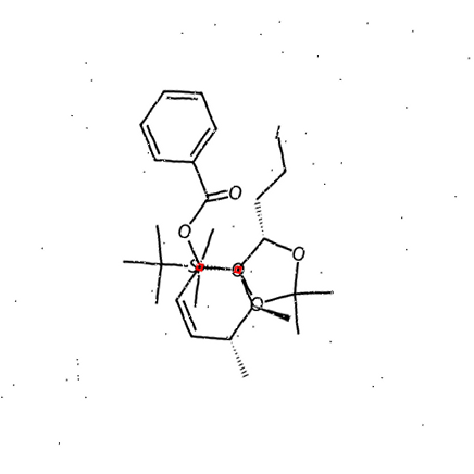 C[C@H](/C=C\C(OC(=O)c1ccccc1)[C@H]1OC(C)(C)O[C@H]1CCI)[C@H](C)O[Si](C)(C)C(C)(C)C